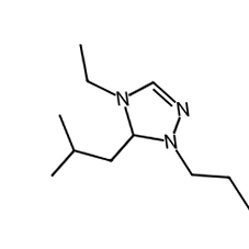 CCCN1N=CN(CC)C1CC(C)C